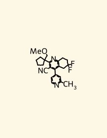 COCC1(c2nc3c(c(-c4ccnc(C)c4)c2C#N)CC(F)(F)CC3)CCCC1